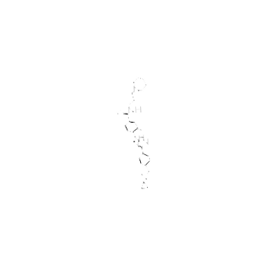 O=C(NCCCN1CCCCC1)c1ccc2c(c1)sc1nc(-c3ccc(CNC4CC4)cc3)nn12